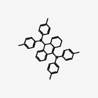 Cc1ccc(N(C2=C3CCC=CC3C(N(c3ccc(C)cc3)c3ccc(C)cc3)c3ccccc32)c2ccc(C)cc2)cc1